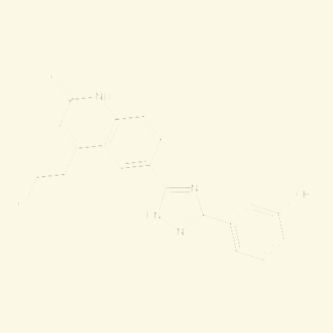 Cc1cccc(-c2n[nH]c(-c3ccc4[nH]c(=O)cc(CCCl)c4c3)n2)c1